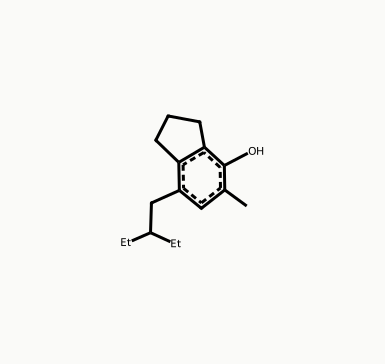 CCC(CC)Cc1cc(C)c(O)c2c1CCC2